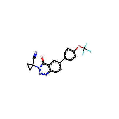 N#CC1(n2nnc3ccc(-c4ccc(OC(F)(F)F)cc4)cc3c2=O)CC1